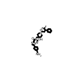 NCc1ccc(-c2cnc3c(=O)n(CC4(O)CCN(C(=O)CC(c5ccccc5)C(F)F)CC4)cnn23)cc1